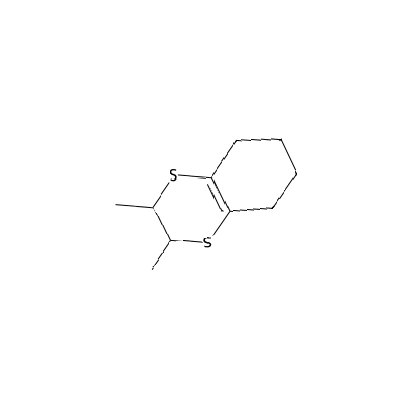 CC1SC2=C(CCCC2)SC1C